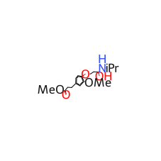 COC(=O)CCc1ccc(OCCC(O)NC(C)C)c(OC)c1